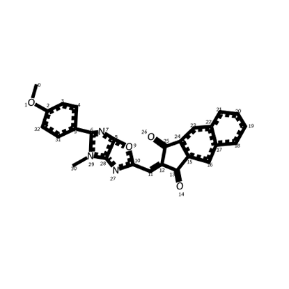 COc1ccc(-c2nc3oc(C=C4C(=O)c5cc6ccccc6cc5C4=O)nc3n2C)cc1